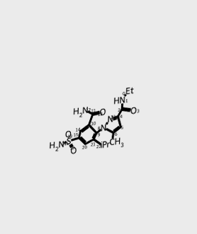 CCNC(=O)c1cc(C)n(-c2c(C(N)=O)cc(S(N)(=O)=O)cc2C(C)C)n1